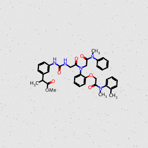 COC(=O)C(C)c1cccc(NC(=O)NCC(=O)N(CC(=O)N(C)c2ccccc2)c2ccccc2OCC(=O)N(C)c2ccccc2C)c1